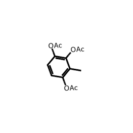 CC(=O)Oc1ccc(OC(C)=O)c(OC(C)=O)c1C